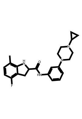 Cc1ccc(F)c2c1NC(C(=O)Nc1cccc(N3CCN(C4CC4)CC3)c1)C2